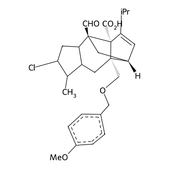 COc1ccc(COC[C@@]23CC4C(C)C(Cl)CC4[C@@]4(C=O)C[C@@H]2C=C(C(C)C)[C@@]34C(=O)O)cc1